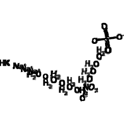 O.O.O.O.O.O.O.O.O.O.O=S(=O)([O-])[O-].O=[N+]([O-])[O-].[KH].[Na+].[Na+].[Na+]